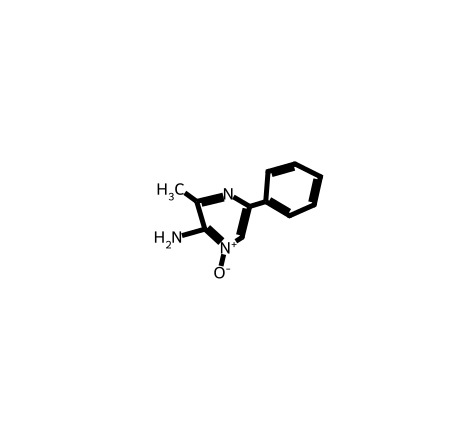 Cc1nc(-c2ccccc2)c[n+]([O-])c1N